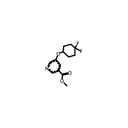 COC(=O)c1cncc(OC2CCC(F)(F)CC2)c1